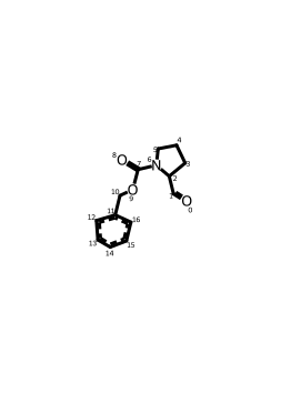 O=CC1CCCN1C(=O)OCc1ccccc1